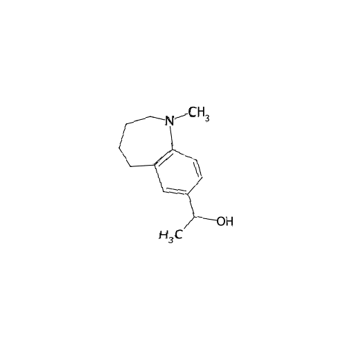 CC(O)c1ccc2c(c1)CCCCN2C